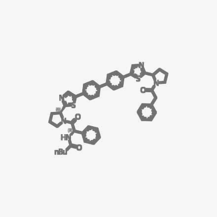 CCCCC(=O)N[C@@H](C(=O)N1CCC[C@H]1c1ncc(-c2ccc(-c3ccc(-c4cnc(C5CCCN5C(=O)Cc5ccccc5)s4)cc3)cc2)s1)c1ccccc1